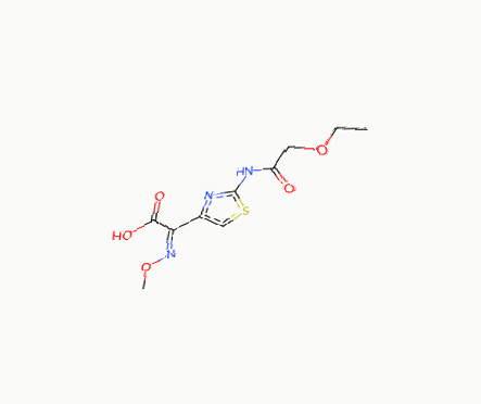 CCOCC(=O)Nc1nc(/C(=N/OC)C(=O)O)cs1